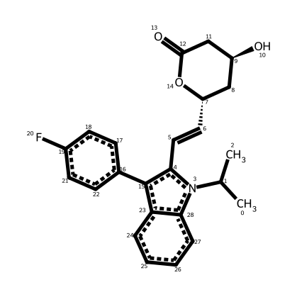 CC(C)n1c(/C=C/[C@H]2C[C@H](O)CC(=O)O2)c(-c2ccc(F)cc2)c2ccccc21